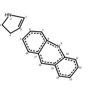 C1=CNCC1.c1ccc2nc3ccccc3cc2c1